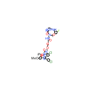 COc1ccc(C2=N[C@H](c3ccc(Cl)cc3)[C@H](c3ccc(Cl)cc3)N2C(=O)N2CCN(CCOCCOCCC(=O)NCCN3C[C@H](C)Oc4ccc(F)cc4C(C)Nc4ccn5ncc(c5n4)C3=O)C(=O)C2)c(OC(C)C)c1